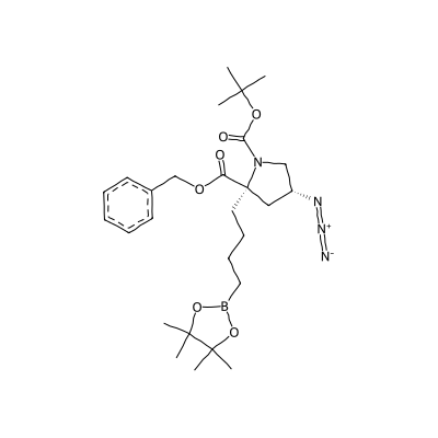 CC(C)(C)OC(=O)N1C[C@H](N=[N+]=[N-])C[C@@]1(CCCCB1OC(C)(C)C(C)(C)O1)C(=O)OCc1ccccc1